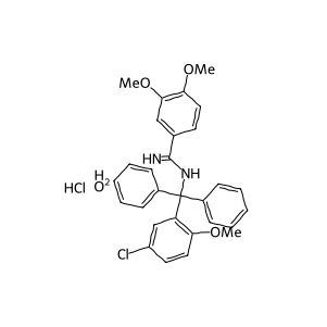 COc1ccc(C(=N)NC(c2ccccc2)(c2ccccc2)c2cc(Cl)ccc2OC)cc1OC.Cl.O